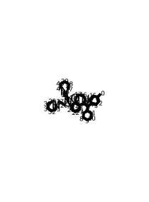 Cc1ccc2c(C3CCCCC3)c3n(c2c1)CCOc1c-3cccc1N(CCN1CCCCC1)CCN1CCCCC1